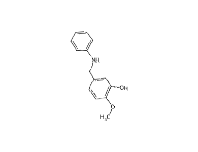 COc1ccc(CNc2ccccc2)cc1O